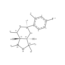 Cc1cc(F)ccc1[C@]1(C)CC(C)[C@@H]2[C@@H](C1)C(C)(C)ON2C